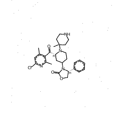 Cc1cc(Cl)nc(C)c1C(=O)[C@H]1CC(N2C(=O)OC[C@H]2c2ccccc2)CCN1C1(C)CCNCC1